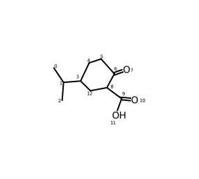 CC(C)C1CCC(=O)C(C(=O)O)C1